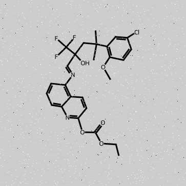 CCOC(=O)Oc1ccc2c(N=CC(O)(CC(C)(C)c3cc(Cl)ccc3OC)C(F)(F)F)cccc2n1